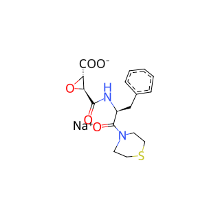 O=C([O-])[C@H]1O[C@@H]1C(=O)N[C@@H](Cc1ccccc1)C(=O)N1CCSCC1.[Na+]